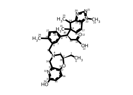 CC[C@@H]1CN(Cc2cc([C@H](CC(=O)O)C3(C)C=Cc4c(nnn4C)C3C)ccc2C)Cc2nc(O)ccc2O1